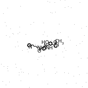 COc1ncccc1-c1ccc(O)c(-c2nc3cc(C(=O)NCCCCc4ccccn4)ccc3[nH]2)c1